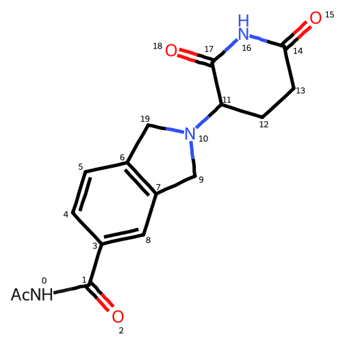 CC(=O)NC(=O)c1ccc2c(c1)CN(C1CCC(=O)NC1=O)C2